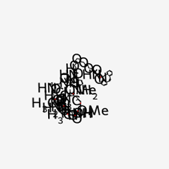 COc1cc2cc(c1Cl)N(C)C(=O)C[C@H](OC(=O)[C@H](N)N(C)C(=O)CCCCNC1(C(=O)CCCNC(=O)[C@H](CCCCN)NC(=O)C(Cc3ccccc3)NC(=O)CCOCCOCCOCCOCCC(=O)NCC(=O)N3Cc4ccccc4C#CC4C=CC=CC43)CC1)[C@]1(N)O[C@H]1[C@H](C)[C@@H]1C[C@@](O)(NC(=O)O1)[C@H](OC)/C=C/C=C(\C)C2